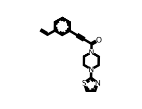 C=Cc1cccc(C#CC(=O)N2CCN(c3nccs3)CC2)c1